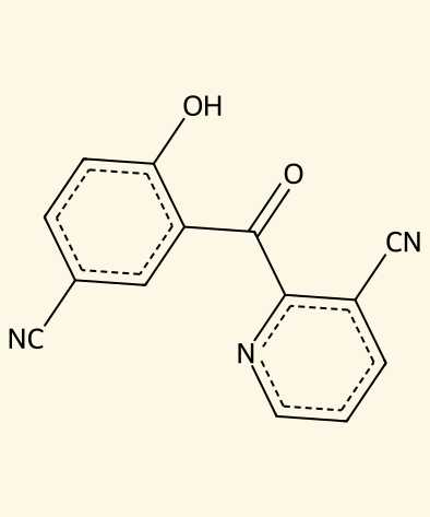 N#Cc1ccc(O)c(C(=O)c2ncccc2C#N)c1